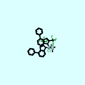 C[SiH](C)[Zr]([Cl])([Cl])([CH]1C(C(F)(F)F)=Cc2c(-c3ccccc3)cccc21)[CH]1C(C(F)(F)F)=Cc2c(-c3ccccc3)cccc21